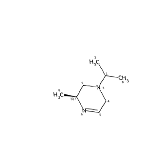 CC(C)N1CC=N[C@@H](C)C1